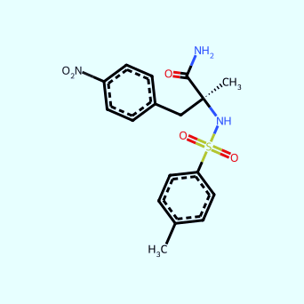 Cc1ccc(S(=O)(=O)N[C@@](C)(Cc2ccc([N+](=O)[O-])cc2)C(N)=O)cc1